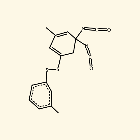 CC1=CC(N=C=O)(N=C=O)CC(SSc2cccc(C)c2)=C1